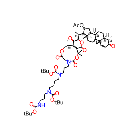 CC(=O)O[C@H]1C[C@@]2(C)[C@@H]3CC[C@H]4[C@H](C)C(=O)C=C[C@@]45C[C@@]35CC[C@]2(C)[C@H]1[C@H](C)[C@H]1OC(=O)C2=C(C1=O)[C@@H](C)COC(=O)CN(CCCN(CCCCN(CCCNC(=O)OC(C)(C)C)C(=O)OC(C)(C)C)C(=O)OC(C)(C)C)C(=O)OC2(C)C